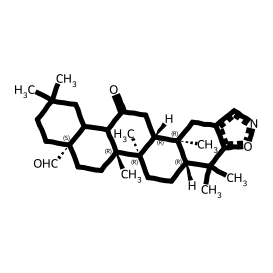 CC1(C)CC[C@]2(C=O)CC[C@]3(C)C(C(=O)C[C@@H]4[C@@]5(C)Cc6cnoc6C(C)(C)[C@@H]5CC[C@]43C)C2C1